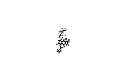 C[C@@H]1CN(c2nc(=O)n3c4c(c(Cl)c(C(F)(F)F)cc24)SCC(c2cccs2)C3)C[C@H](C)N1C(=O)OC(C)(C)C